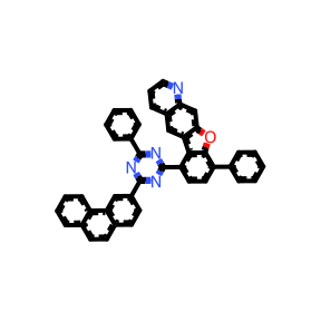 c1ccc(-c2nc(-c3ccc4ccc5ccccc5c4c3)nc(-c3ccc(-c4ccccc4)c4oc5cc6ncccc6cc5c34)n2)cc1